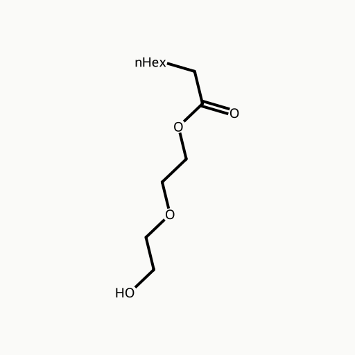 CCCCCCCC(=O)OCCOCCO